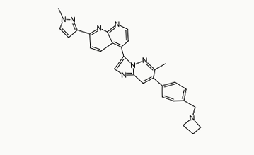 Cc1nn2c(-c3ccnc4nc(-c5ccn(C)n5)ccc34)cnc2cc1-c1ccc(CN2CCC2)cc1